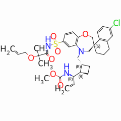 C=CCOC(C)(C)C(=O)NS(=O)(=O)c1ccc2c(c1)N(C[C@@H]1CC[C@H]1[C@@H](C=C)NC(=O)OC)C[C@@]1(CCCc3cc(Cl)ccc31)CO2